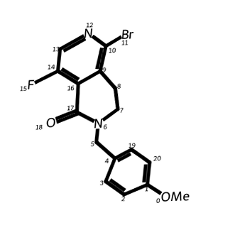 COc1ccc(CN2CCc3c(Br)ncc(F)c3C2=O)cc1